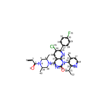 C=CC(=O)N1CC(C)N(c2nc(=O)n(-c3c(C)ccnc3C(C)C)c3nc(-c4ccc(F)cc4)c(Cl)cc23)CC1C